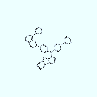 c1ccc(-c2ccc(N(c3ccc(-c4ccc5cccc(-c6ccccc6)c5c4)cc3)c3cccc4c3oc3ccccc34)cc2)cc1